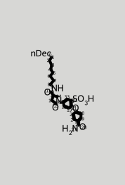 CCCCCCCCCCCCCCCCCCNC(=O)C1CC(=O)N(c2ccc(Oc3ccc(C(N)=O)cc3)c(S(=O)(=O)O)c2)C1